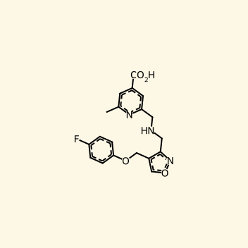 Cc1cc(C(=O)O)cc(CNCc2nocc2COc2ccc(F)cc2)n1